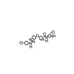 COCC1C[C@@H](NC(=O)c2cc(Oc3ccc4c(c3)nc(Nc3ccc(Cl)cc3)n4C)ccn2)CN1